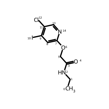 CCNC(=O)COc1cc(I)c(Cl)cn1